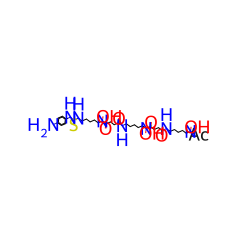 CC(=O)N(O)CCCCCNC(=O)CCC(=O)N(O)CCCCCNC(=O)CCC(=O)N(O)CCCCCNC(=S)Nc1ccc(N)cc1